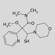 COC(C(=O)N(C)C)(c1ccccn1)C(S)N1CCOCC1